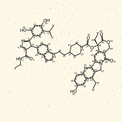 CCNC(=O)C1=NN=C(c2cc(C(C)C)c(O)cc2O)C1c1ccc2c(ccn2CCC2CCN(C(=O)O[C@]3(CC)C(=O)OCc4c3cc3n(c4=O)Cc4c-3nc3ccc(O)cc3c4CC)CC2)c1